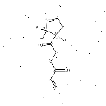 C=CC(=O)OCC(=O)[C@]1(C)CC=CC1(C)C